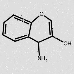 NC1C(O)=COc2ccccc21